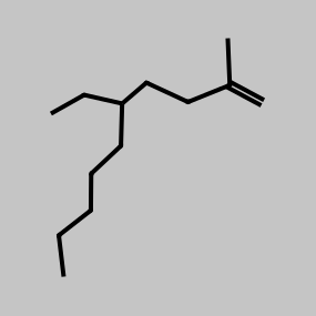 C=C(C)CCC(CC)CCCCC